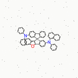 c1ccc(N(c2ccccc2)c2ccc3c(c2)C2(c4ccccc4-3)c3cc(N(c4ccccc4)c4cccc5ccccc45)ccc3-c3oc4ccccc4c32)cc1